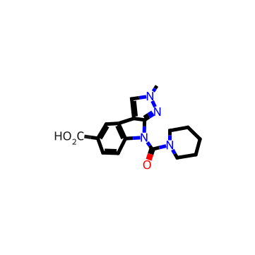 Cn1cc2c3cc(C(=O)O)ccc3n(C(=O)N3CCCCC3)c2n1